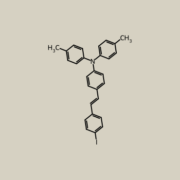 Cc1ccc(N(c2ccc(C)cc2)c2ccc(/C=C/c3ccc(I)cc3)cc2)cc1